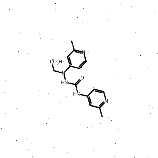 Cc1cc(NC(=O)NN(CC(=O)O)c2ccnc(C)c2)ccn1